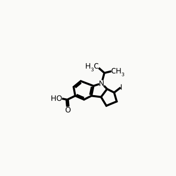 CC(C)N1c2ccc(C(=O)O)cc2C2CCC(I)C21